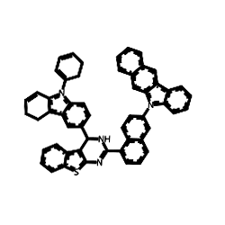 C1=CCCC(n2c3c(c4cc(C5NC(c6cccc7cc(-n8c9ccccc9c9cc%10ccccc%10cc98)ccc67)=Nc6sc7ccccc7c65)ccc42)CCC=C3)=C1